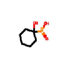 O=[PH](O)C1(O)CCCCC1